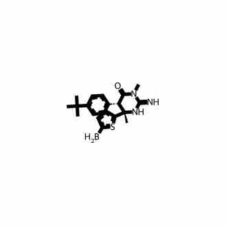 Bc1ccc([C@@]2(C)NC(=N)N(C)C(=O)[C@H]2c2ccc(C(C)(C)C)cc2)s1